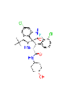 CC(C)(C)C[C@@H]1N[C@@H](C(=O)NC2CCC(O)CC2)[C@H](c2cccc(Cl)c2F)[C@@]12C(=O)Nc1cc(Cl)ccc12